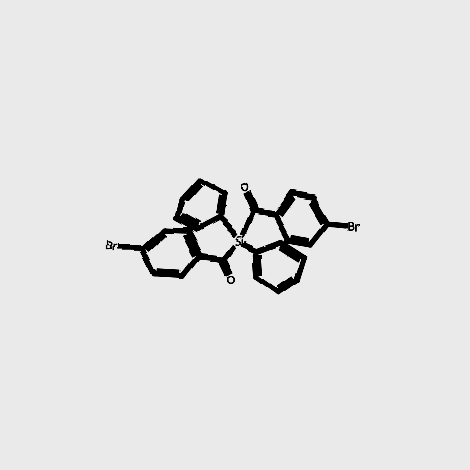 O=C(c1ccc(Br)cc1)[Si](C(=O)c1ccc(Br)cc1)(c1ccccc1)c1ccccc1